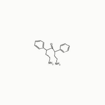 NCCC(C(=O)C(CCN)c1ccccc1)c1ccccc1